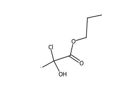 [CH2]C(O)(Cl)C(=O)OCCC